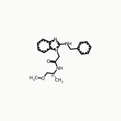 COC[C@@H](C)NC(=O)Cn1c(NCc2ccccc2)nc2ccccc21